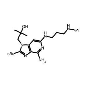 CCCCc1nc2c(N)nc(NCCCNC(C)C)cc2n1CC(C)(C)O